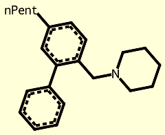 CCCCCc1ccc(CN2CCCCC2)c(-c2ccccc2)c1